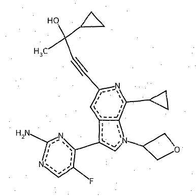 CC(O)(C#Cc1cc2c(-c3nc(N)ncc3F)cn(C3COC3)c2c(C2CC2)n1)C1CC1